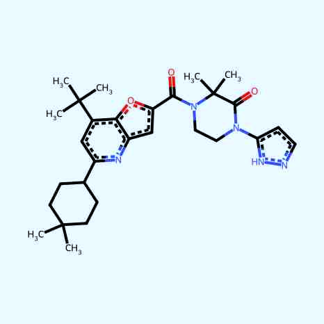 CC1(C)CCC(c2cc(C(C)(C)C)c3oc(C(=O)N4CCN(c5ccn[nH]5)C(=O)C4(C)C)cc3n2)CC1